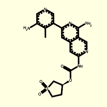 Cc1c(N)cncc1-c1cc2cc(NC(=O)O[C@H]3CCS(=O)(=O)C3)ncc2c(N)n1